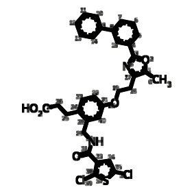 Cc1oc(-c2cccc(-c3ccccc3)c2)nc1CCOc1ccc(CCC(=O)O)c(CNC(=O)c2cc(Cl)sc2Cl)c1